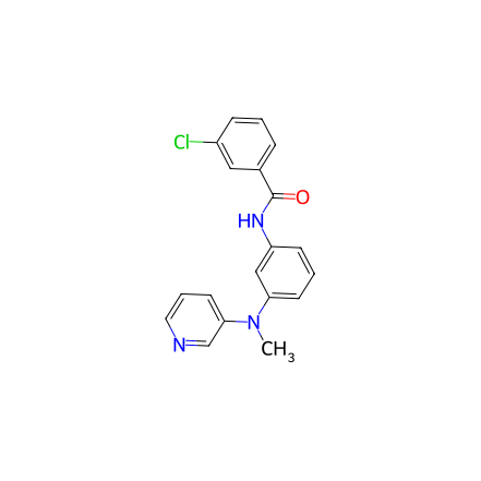 CN(c1cccnc1)c1cccc(NC(=O)c2cccc(Cl)c2)c1